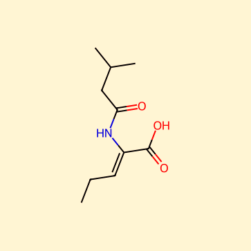 CCC=C(NC(=O)CC(C)C)C(=O)O